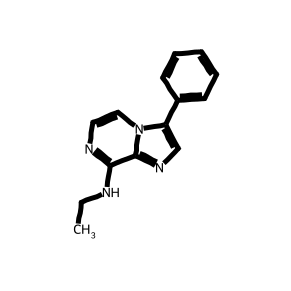 CCNc1nccn2c(-c3ccccc3)cnc12